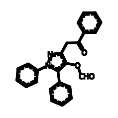 O=COc1c(CC(=O)c2ccccc2)nn(-c2ccccc2)c1-c1ccccc1